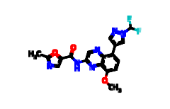 COc1ccc(-c2cnn(C(F)F)c2)c2ncc(NC(=O)c3cnc(C)o3)nc12